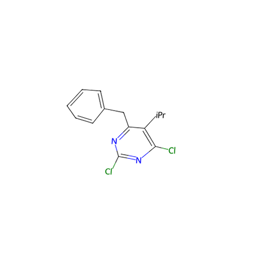 CC(C)c1c(Cl)nc(Cl)nc1Cc1ccccc1